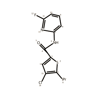 CC(C)c1sc(C(=O)Nc2cccc(F)n2)cc1Cl